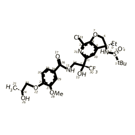 CC[C@@]1(N[S+]([O-])C(C)(C)C)COc2c1cc([C@](O)(CNC(=O)c1ccc(OC[C@@H](C)O)c(OC)c1)C(F)(F)F)nc2Cl